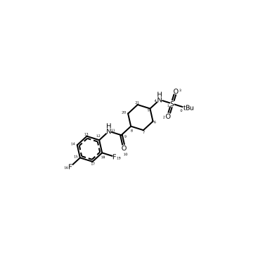 CC(C)(C)S(=O)(=O)NC1CCC(C(=O)Nc2ccc(F)cc2F)CC1